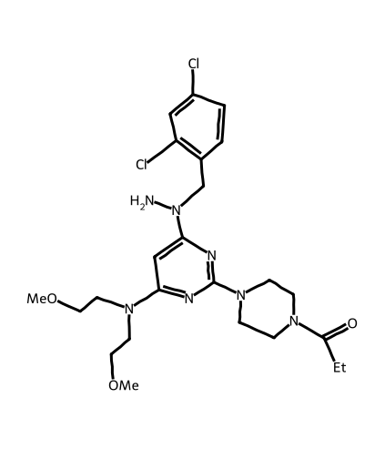 CCC(=O)N1CCN(c2nc(N(N)Cc3ccc(Cl)cc3Cl)cc(N(CCOC)CCOC)n2)CC1